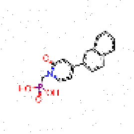 O=c1cc(-c2ccc3ccccc3c2)ccn1CP(=O)(O)O